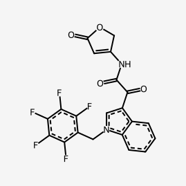 O=C1C=C(NC(=O)C(=O)c2cn(Cc3c(F)c(F)c(F)c(F)c3F)c3ccccc23)CO1